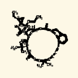 CCOP(=O)(O)[C@@]1(NC(=O)[C@@H]2C[C@@H]3CN2C(=O)[C@H](C(C)(C)C)NC(=O)OCC(C)(C)CCCCc2cccc4c2CN(C4)C(=O)O3)C[C@H]1CC